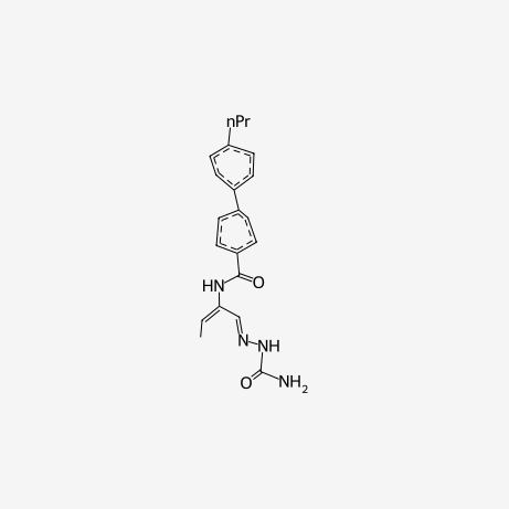 CC=C(C=NNC(N)=O)NC(=O)c1ccc(-c2ccc(CCC)cc2)cc1